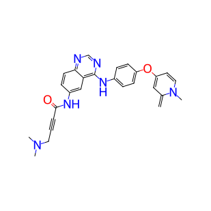 C=C1C=C(Oc2ccc(Nc3ncnc4ccc(NC(=O)C#CCN(C)C)cc34)cc2)C=CN1C